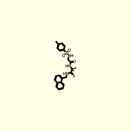 Cc1ccc(S(=O)(=O)NCC(=O)N[C@@H](C)C(=S)NCc2cccc3ccccc23)cc1